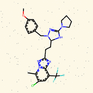 COc1ccc(CN2N=C(N3CCCC3)NC2CCc2nc3c(C(F)(F)F)cc(Cl)c(C)n3n2)cc1